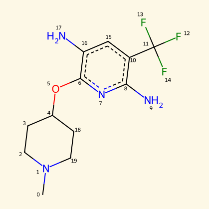 CN1CCC(Oc2nc(N)c(C(F)(F)F)cc2N)CC1